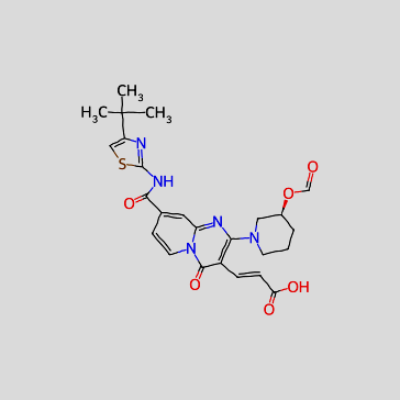 CC(C)(C)c1csc(NC(=O)c2ccn3c(=O)c(/C=C/C(=O)O)c(N4CCC[C@H](OC=O)C4)nc3c2)n1